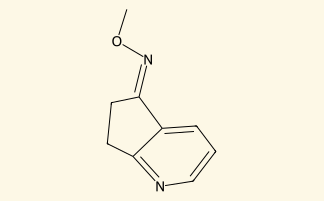 CON=C1CCc2ncccc21